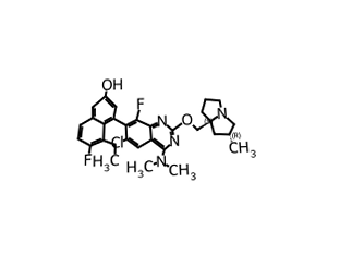 CCc1c(F)ccc2cc(O)cc(-c3c(Cl)cc4c(N(C)C)nc(OC[C@@]56CCCN5C[C@H](C)C6)nc4c3F)c12